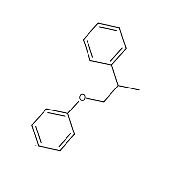 CC(COc1cc[c]cc1)c1ccccc1